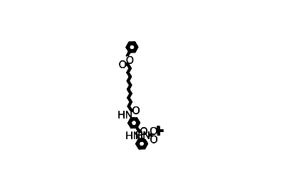 CC(C)(C)OC(=O)Nc1ccccc1NC(=O)c1ccc(NC(=O)CCCCCCCCCCC(=O)OCc2ccccc2)cc1